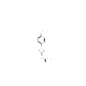 CN(C(=O)OC(C)(C)C)C1CN(c2ccc(OC(C)(C)C)cc2)C1